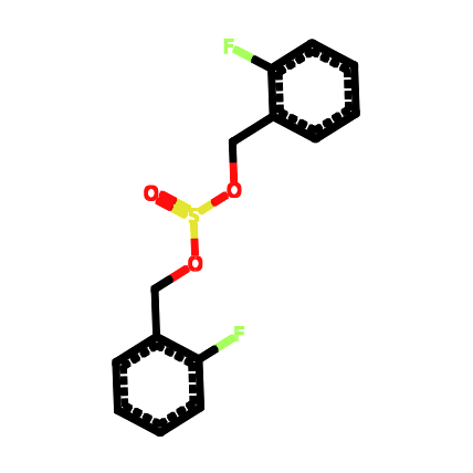 O=S(OCc1ccccc1F)OCc1ccccc1F